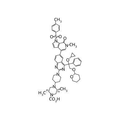 Cc1ccc(S(=O)(=O)n2ccc3c(-c4ccc5nc(N6CCC(N7C[C@@H](C)N(C(=O)O)C[C@@H]7C)CC6)nc(C(COC6CCCCO6)(OC6CC6)c6ccccc6)c5c4)cn(C)c(=O)c32)cc1